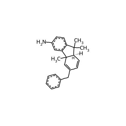 CC1(C)c2ccc(N)cc2C2(C)C=C(Cc3ccccc3)C=C[C@H]12